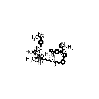 Cc1ncsc1-c1ccc(CNC(=O)[C@@H]2C[C@@H](O)CN2C(=O)C(NC(=O)CCCCCNC(=O)CCc2cccc(-c3ccc4nc(-c5cccnc5N)n(-c5ccc(C6(N)CCC6)cc5)c4n3)c2)C(C)(C)C)cc1